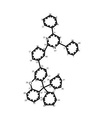 c1ccc(-c2cc(-c3ccccc3)nc(-c3cccc(-c4ccc5c(c4)Oc4ccccc4C5(c4ccccc4)c4ccccc4)c3)n2)cc1